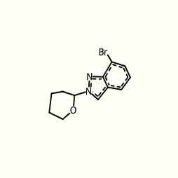 Brc1cccc2cn(C3CCCCO3)nc12